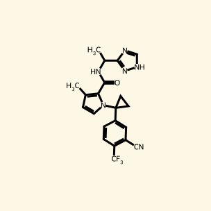 Cc1ccn(C2(c3ccc(C(F)(F)F)c(C#N)c3)CC2)c1C(=O)NC(C)c1nc[nH]n1